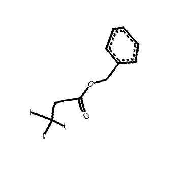 O=C(CC(I)(I)I)OCc1ccccc1